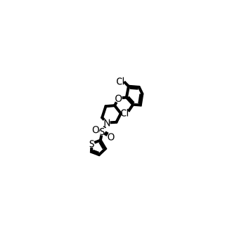 O=S(=O)(c1cccs1)N1CCC(Oc2c(Cl)cccc2Cl)CC1